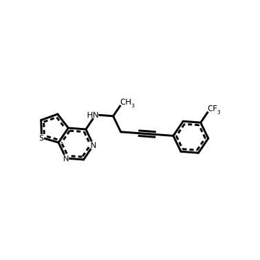 CC(CC#Cc1cccc(C(F)(F)F)c1)Nc1ncnc2sccc12